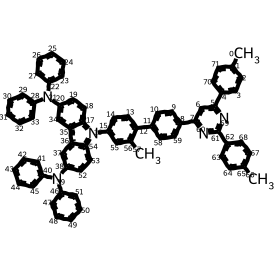 Cc1ccc(-c2cc(-c3ccc(-c4ccc(-n5c6ccc(N(c7ccccc7)c7ccccc7)cc6c6cc(N(c7ccccc7)c7ccccc7)ccc65)cc4C)cc3)nc(-c3ccc(C)cc3)n2)cc1